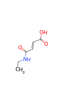 CCNC(=O)C=CC(=O)O